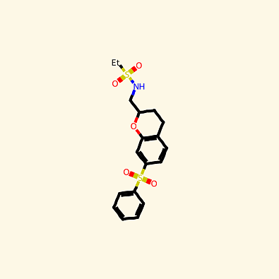 CCS(=O)(=O)NCC1CCc2ccc(S(=O)(=O)c3ccccc3)cc2O1